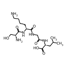 CC(C)C[C@H](NC(=O)CNC(=O)[C@H](CCCCN)NC(=O)[C@@H](N)CO)C(=O)O